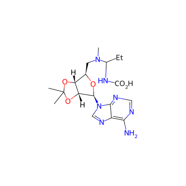 CCC(NC(=O)O)N(C)C[C@H]1O[C@@H](n2cnc3c(N)ncnc32)[C@@H]2OC(C)(C)O[C@@H]21